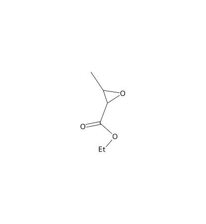 CCOC(=O)C1OC1C